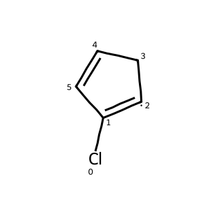 ClC1=[C]CC=C1